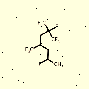 CC(I)CC(CC(F)(C(F)(F)F)C(F)(F)F)C(F)(F)F